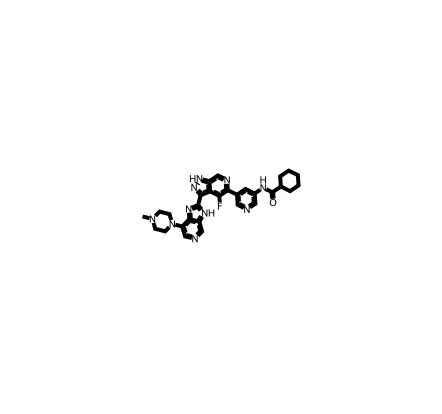 CN1CCN(c2cncc3[nH]c(-c4n[nH]c5cnc(-c6cncc(NC(=O)C7CCCCC7)c6)c(F)c45)nc23)CC1